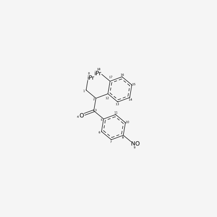 CC(C)CC(C(=O)c1ccc(N=O)cc1)c1ccccc1C(C)C